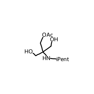 CCCC(C)NC(CO)(CO)COC(C)=O